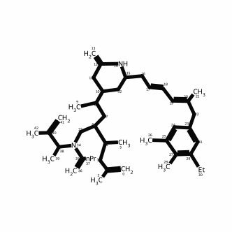 C=C(C)CC(C)C(CC(C)C1CC(=C)NC(C/C=C/C=C(\C)Cc2cc(C)c(C)c(CC)c2)C1)CN(C(=C)CCC)C(C)C(=C)C